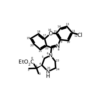 CCOC(=O)C(C)(C)[C@H]1CN(C2=Nc3cc(Cl)ccc3Oc3ccccc32)CCN1